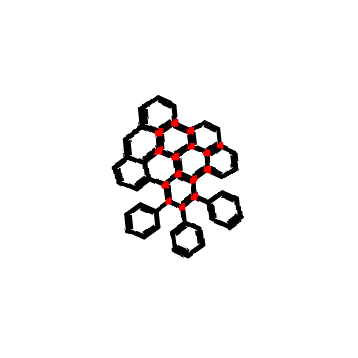 c1ccc(-c2c(-c3ccccc3)c(-c3ccccc3)c(-c3cccc4cc5ccccc5c(-c5c6ccccc6cc6ccccc56)c34)c(-c3ccccc3)c2-c2ccccc2)cc1